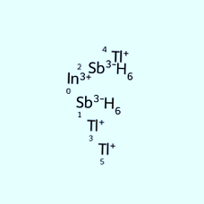 [In+3].[SbH6-3].[SbH6-3].[Tl+].[Tl+].[Tl+]